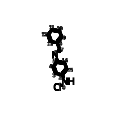 ClNc1ccc(N=Cc2ccccc2)cc1